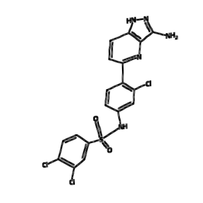 Nc1n[nH]c2ccc(-c3ccc(NS(=O)(=O)c4ccc(Cl)c(Cl)c4)cc3Cl)nc12